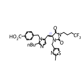 CCCCc1ncc(/C=C2/C(=O)N(CCCC(F)(F)F)C(=O)N2Cc2csc(C)n2)n1Cc1ccc(C(=O)O)cc1